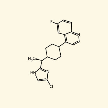 C[C@H](c1nc(Cl)c[nH]1)C1CCC(c2ccnc3ccc(F)cc23)CC1